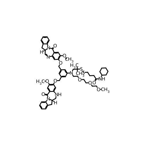 COCCOCCOCCN(CC(C)(C)SSCCCC(=O)NC1CCCCC1)c1cc(COc2cc3c(cc2OC)C(=O)N2c4ccccc4C[C@H]2C=N3)cc(COc2cc3c(cc2OC)C(=O)N2c4ccccc4C[C@H]2CN3)c1